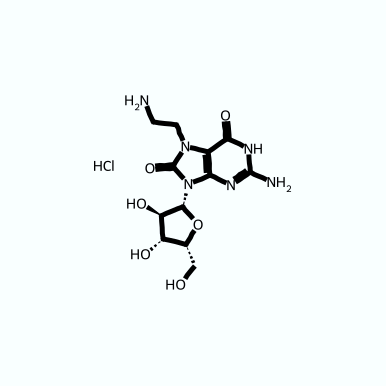 Cl.NCCn1c(=O)n([C@@H]2O[C@H](CO)[C@H](O)[C@H]2O)c2nc(N)[nH]c(=O)c21